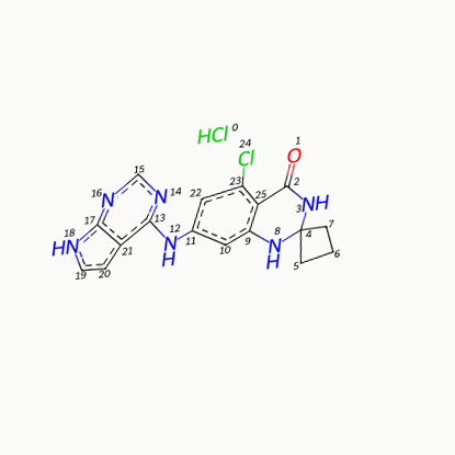 Cl.O=C1NC2(CCC2)Nc2cc(Nc3ncnc4[nH]ccc34)cc(Cl)c21